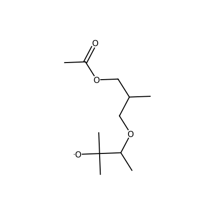 CC(=O)OCC(C)COC(C)C(C)(C)[O]